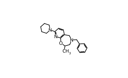 CC1CN(Cc2ccccc2)Cc2ccc(N3CCCCC3)nc2O1